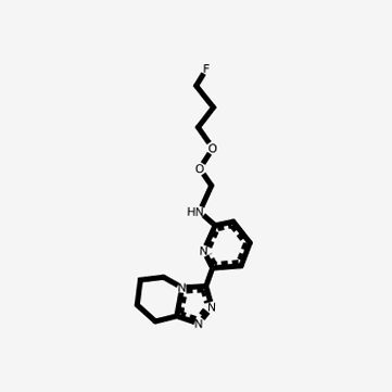 FCCCOOCNc1cccc(-c2nnc3n2CCCC3)n1